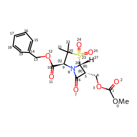 COC(=O)OC[C@@H]1C(=O)N2[C@@H](C(=O)OCc3ccccc3)C(C)(C)S(=O)(=O)[C@H]12